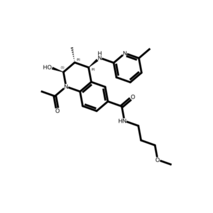 COCCCNC(=O)c1ccc2c(c1)[C@H](Nc1cccc(C)n1)[C@@H](C)[C@H](O)N2C(C)=O